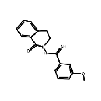 COc1cccc(C(=N)NN2CCc3ccccc3C2=O)c1